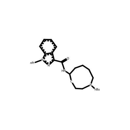 CCCCN1CCCCC(NC(=O)c2nn(CCC)c3ccccc23)CCC1